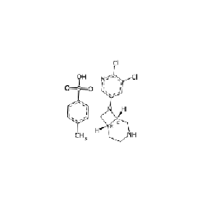 Cc1ccc(S(=O)(=O)O)cc1.Clc1cc(N2C[C@H]3CCNC[C@H]32)cnc1Cl